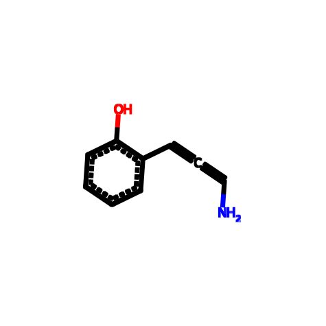 NC=C=Cc1ccccc1O